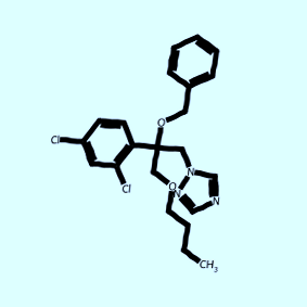 CCCCOCC(Cn1cncn1)(OCc1ccccc1)c1ccc(Cl)cc1Cl